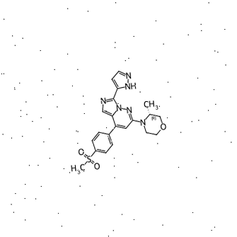 C[C@@H]1COCCN1c1cc(-c2ccc(S(C)(=O)=O)cc2)c2cnc(-c3ccn[nH]3)n2n1